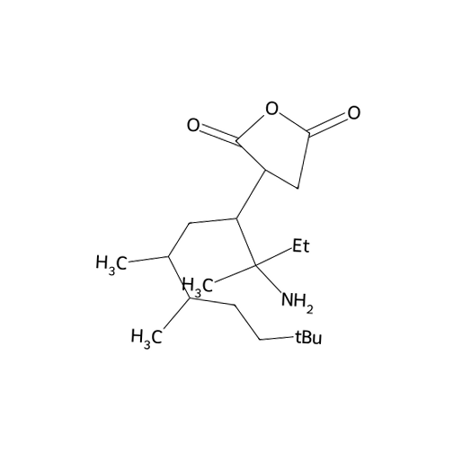 CCC(C)(N)C(CC(C)C(C)CCC(C)(C)C)C1CC(=O)OC1=O